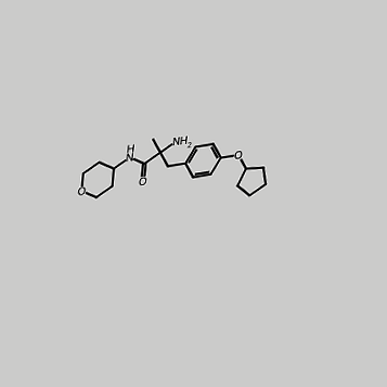 CC(N)(Cc1ccc(OC2CCCC2)cc1)C(=O)NC1CCOCC1